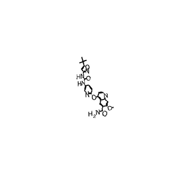 COc1cc2nccc(Oc3ccc(NC(=O)Nc4cc(C(C)(C)C)on4)cn3)c2cc1C(N)=O